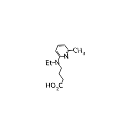 CCN(CCCC(=O)O)c1cccc(C)n1